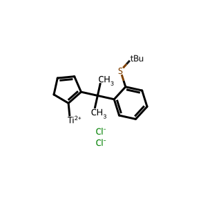 CC(C)(C)Sc1ccccc1C(C)(C)C1=[C]([Ti+2])CC=C1.[Cl-].[Cl-]